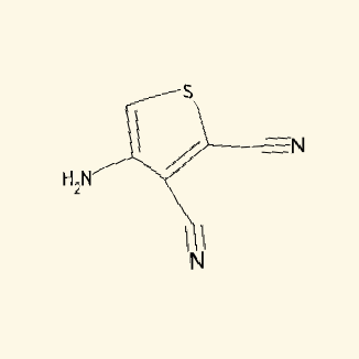 N#Cc1scc(N)c1C#N